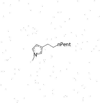 CCCCCCCc1ccn(C)c1